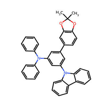 CC1(C)Oc2ccc(-c3cc(N(c4ccccc4)c4ccccc4)cc(-n4c5ccccc5c5ccccc54)c3)cc2O1